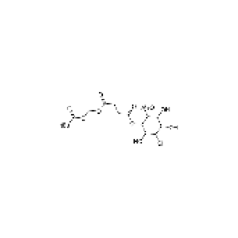 COC1C(O)C(O)C(O)C(O)C1OC(=O)CCC(=O)OCOC(=O)C(C)(C)C